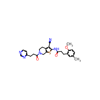 COc1ccc(C)cc1CCC(=O)Nc1sc2c(c1C#N)CCN(C(=O)CCc1ccncn1)C2